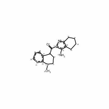 CN1CCC(C(=O)n2nc3c(c2N)CCCC3)c2cccnc21